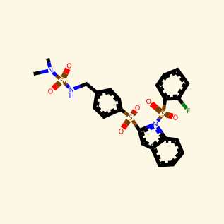 CN(C)S(=O)(=O)NCc1ccc(S(=O)(=O)c2cc3ccccc3n2S(=O)(=O)c2ccccc2F)cc1